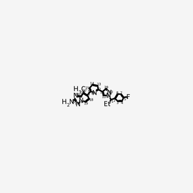 CCC(c1ccc(F)cc1)n1cc(-c2cccc(-c3ccn4nc(N)nc4c3C)n2)cn1